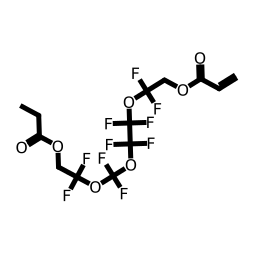 C=CC(=O)OCC(F)(F)OC(F)(F)C(F)(F)OC(F)(F)OC(F)(F)COC(=O)CC